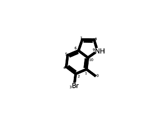 Cc1c(Br)ccc2cc[nH]c12